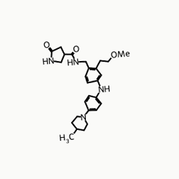 COCCc1cc(Nc2ccc(N3CCC(C)CC3)cc2)ccc1CNC(=O)C1CNC(=O)C1